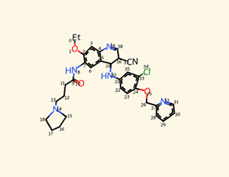 CCOc1cc2c(cc1NC(=O)CCCN1CCCC1)C(Nc1ccc(OCc3ccccn3)c(Cl)c1)C(C#N)C=N2